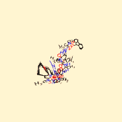 CC(C)C[C@H](NC(=O)[C@H](C)N(C)C(=O)OCC1c2ccccc2-c2ccccc21)C(=O)N(C)CC(=O)N[C@@H](C)C(=O)N[C@@H](CC(C)C)C(=O)N(C)[C@@H](Cc1ccccc1)C(=O)N(C)[C@@H](C)C(=O)NCC(=O)N(C)[C@@H](Cc1ccccc1)C(=O)N1CCC[C@H]1C(=O)N[C@@H](C)C(=O)O